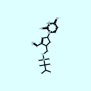 CC(C)C(C)(C)[Si](C)(C)OCC1CC(n2ccc(=O)[nH]c2=O)C=C1C=O